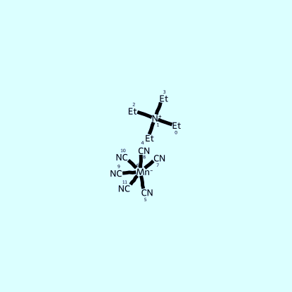 CC[N+](CC)(CC)CC.N#[C][Mn-]([C]#N)([C]#N)([C]#N)([C]#N)[C]#N